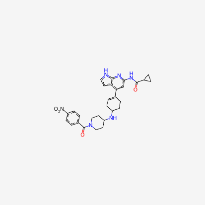 O=C(Nc1cc(C2=CCC(NC3CCN(C(=O)c4ccc([N+](=O)[O-])cc4)CC3)CC2)c2cc[nH]c2n1)C1CC1